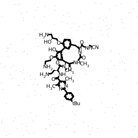 Cc1nc(-c2ccc(C(C)(C)C)cc2)nc(C)c1C(=O)N[C@@H](CCN)C(=O)N(C)[C@@H]1C(=O)N[C@@H](C)C(=O)N[C@H](C(=O)NCC#N)Cc2ccc(OC[C@H](O)CN)c(c2)-c2cc1cc(OCCN)c2O